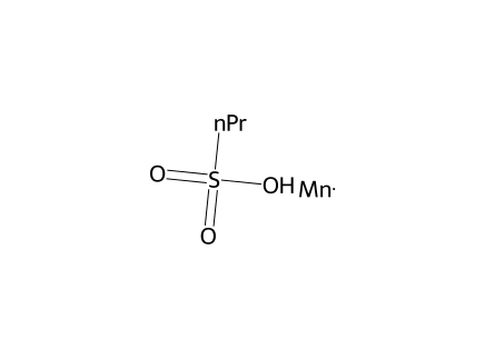 CCCS(=O)(=O)O.[Mn]